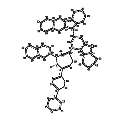 C[C@H]1C(C2=CC=C(c3ccccc3)CC2)=CCC(c2cc(-n3c4ccccc4c4cc5ccccc5cc43)cc3oc4ccccc4c23)=NC1c1ccc2ccccc2c1